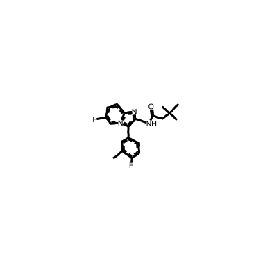 Cc1cc(-c2c(NC(=O)CC(C)(C)C)nc3ccc(F)cn23)ccc1F